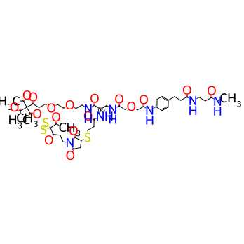 CNC(=O)CCNC(=O)CCc1ccc(NC(=O)COCC(=O)NC[C@@H](NC(=O)CCSC2CC(=O)N(CCC(=O)C3(C(C)=O)SS3)C2=O)C(=O)NCCOCCOCCC(=O)C(C(C)=O)(C(C)=O)C(C)=O)cc1